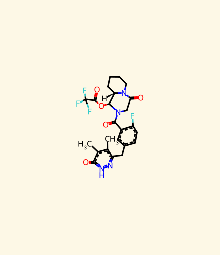 Cc1c(Cc2ccc(F)c(C(=O)N3CC(=O)N4CCCC[C@H]4C3OC(=O)C(F)(F)F)c2)n[nH]c(=O)c1C